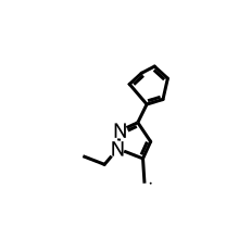 [CH2]c1cc(-c2ccccc2)nn1CC